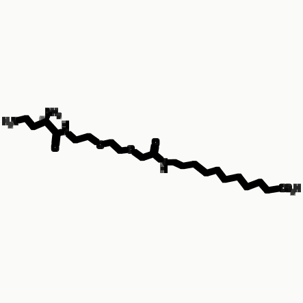 NCC[C@H](N)C(=O)NCCOCCOCC(=O)NCCCCCCCCCCC(=O)O